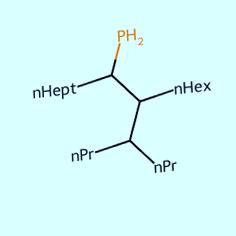 CCCCCCCC(P)C(CCCCCC)C(CCC)CCC